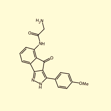 COc1ccc(-c2[nH]nc3c2C(=O)c2c(NC(=O)CN)cccc2-3)cc1